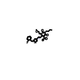 CCCCn1c(=O)c([N+](=O)[O-])c(/C=C/c2cnn(Cc3ccccc3F)c2)n(CCOC)c1=O